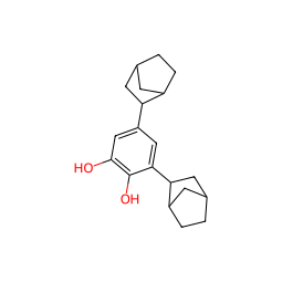 Oc1cc(C2CC3CCC2C3)cc(C2CC3CCC2C3)c1O